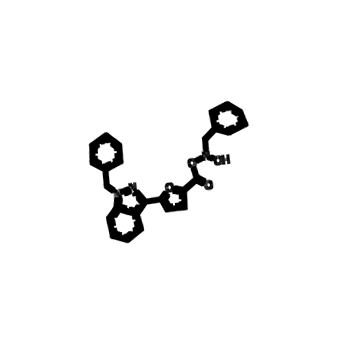 O=C(ON(O)Cc1ccccc1)c1ccc(-c2nn(Cc3ccccc3)c3ccccc23)o1